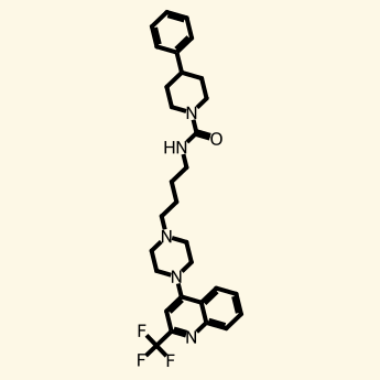 O=C(NCCCCN1CCN(c2cc(C(F)(F)F)nc3ccccc23)CC1)N1CCC(c2ccccc2)CC1